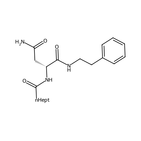 CCCCCCCC(=O)N[C@H](CC(N)=O)C(=O)NCCc1ccccc1